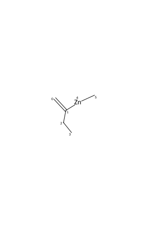 C=[C](CC)[Zn][CH3]